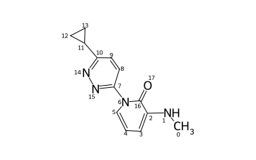 CNc1cccn(-c2ccc(C3CC3)nn2)c1=O